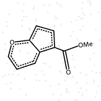 COC(=O)c1ccc2occcc1-2